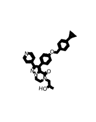 CC(O)CN1CCn2nc(-c3ccncc3)c(-c3ccc(OCc4ccc(C5CC5)cc4)cc3)c2C1=O